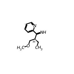 CC[C@@H](COC)C(=N)c1cc[c]cn1